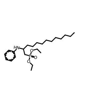 CCCCCCCCCCCC(CP(=O)(OCC)OCC)Nc1ccccc1